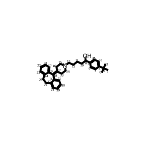 CC(C)(C)c1ccc(C(O)CCCCN2CCC(=C3c4ccccc4CCc4ccccc43)CC2)cc1